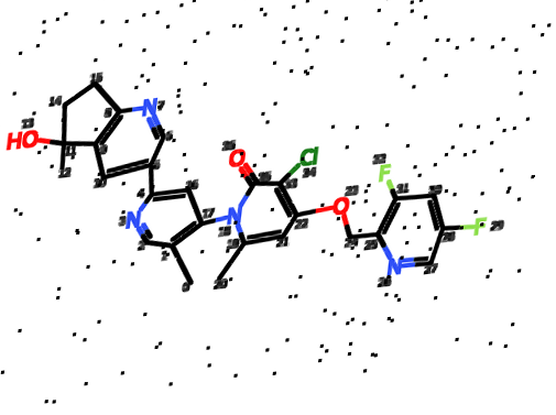 Cc1cnc(-c2cnc3c(c2)C(C)(O)CC3)cc1-n1c(C)cc(OCc2ncc(F)cc2F)c(Cl)c1=O